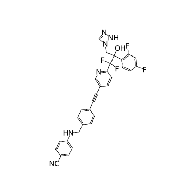 N#Cc1ccc(NCc2ccc(C#Cc3ccc(C(F)(F)C(O)(Cn4cn[nH]4)c4ccc(F)cc4F)nc3)cc2)cc1